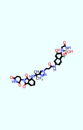 CC(C)(Nc1cccc2c1C(=O)N(C1CCC(=O)NC1=O)C2=O)c1cn(CCC(=O)Nc2ccc3c(F)c(N4CC(=O)NS4(O)O)c(O)cc3c2)nn1